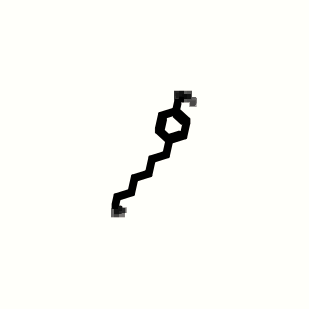 CC(C)CCCCCCc1ccc(N)cc1